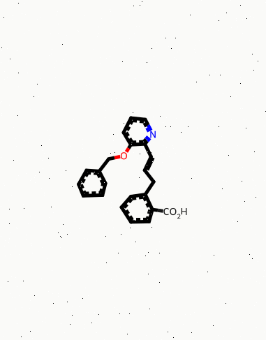 O=C(O)c1ccccc1CC=Cc1ncccc1OCc1ccccc1